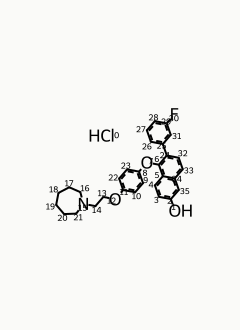 Cl.Oc1ccc2c(Oc3ccc(OCCN4CCCCCC4)cc3)c(-c3cccc(F)c3)ccc2c1